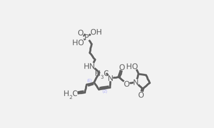 C=C/C=C(\C=C/N(C)C(=O)ON1C(=O)CCC1O)CNCCCP(=O)(O)O